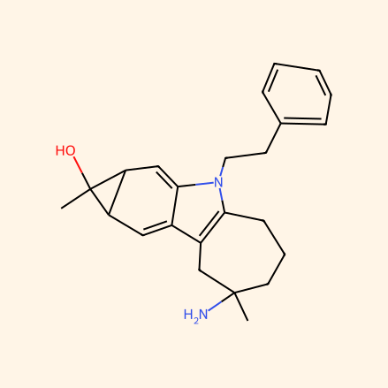 CC1(N)CCCc2c(c3c(n2CCc2ccccc2)=CC2C(C=3)C2(C)O)C1